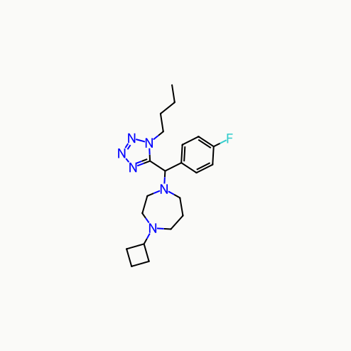 CCCCn1nnnc1C(c1ccc(F)cc1)N1CCCN(C2CCC2)CC1